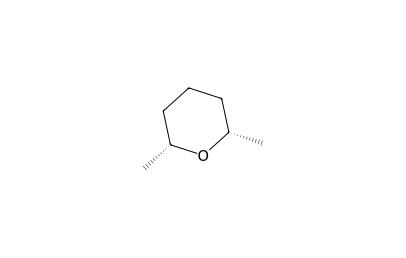 C[C@@H]1CCC[C@H](C)O1